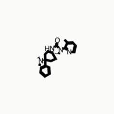 Cc1cccnc1N1C[C@]2(CC[C@](c3ccccc3)(N(C)C)CC2)NC1=O